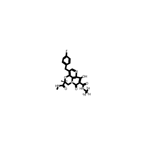 [2H]C([2H])([2H])NC(=O)c1c(O)c2ncc(Cc3ccc(F)cc3)c3c2n(c1=O)C[C@](C)(C(=O)NC)O3